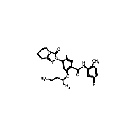 CCCC(C)Oc1cc(-n2nc3n(c2=O)CCCC3)c(F)cc1C(=O)Nc1cc(F)ccc1C